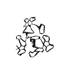 CC1(C)c2ccccc2-c2cc(N(c3ccc4c(c3)-c3c(ccc5ccccc35)C43c4ccccc4-c4ccccc43)c3cc(N(c4ccccc4)c4ccccc4)c4c(c3)oc3ccccc34)c3ccccc3c21